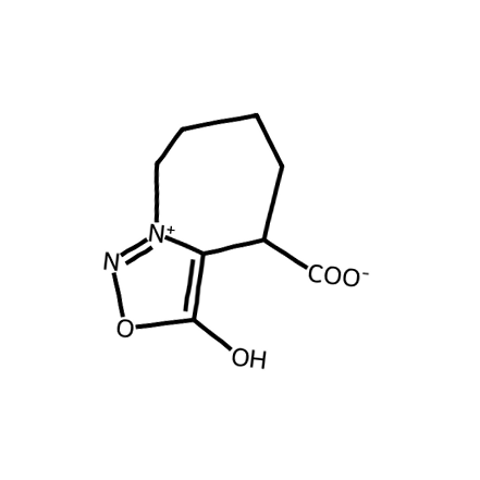 O=C([O-])C1CCCC[n+]2noc(O)c21